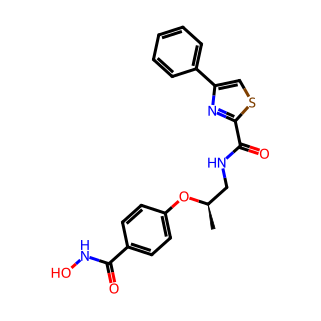 C[C@H](CNC(=O)c1nc(-c2ccccc2)cs1)Oc1ccc(C(=O)NO)cc1